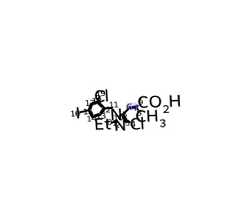 CCc1nc(Cl)c(/C=C(\C)C(=O)O)n1Cc1ccc(I)cc1Cl